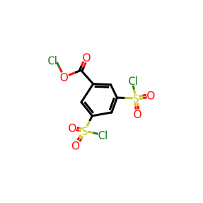 O=C(OCl)c1cc(S(=O)(=O)Cl)cc(S(=O)(=O)Cl)c1